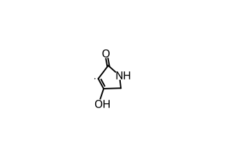 O=C1[C]=C(O)CN1